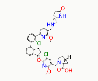 COc1nc(-c2cccc(-c3cccc4c3CC[C@@H]4Oc3nc(OC)c(CN4CC[C@@H]5CC54C(=O)O)cc3Cl)c2Cl)ccc1CNC[C@@H]1CCC(=O)N1